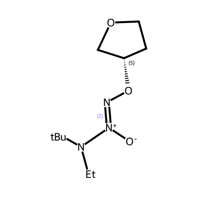 CCN(/[N+]([O-])=N/O[C@H]1CCOC1)C(C)(C)C